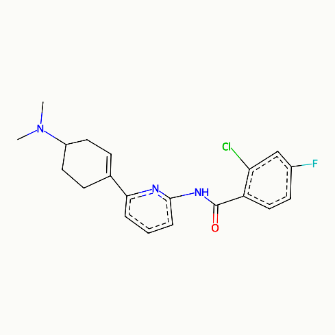 CN(C)C1CC=C(c2cccc(NC(=O)c3ccc(F)cc3Cl)n2)CC1